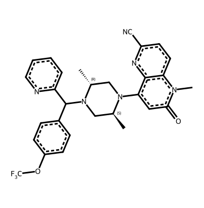 C[C@@H]1CN(c2cc(=O)n(C)c3ccc(C#N)nc23)[C@@H](C)CN1C(c1ccc(OC(F)(F)F)cc1)c1ccccn1